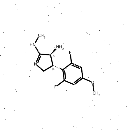 CNC1=NC[C@@H](c2c(F)cc(OC)cc2F)[C@@H]1N